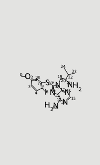 COc1ccc(I)c(Sc2nc3c(N)ncnc3n2CC(N)C(C)C)c1